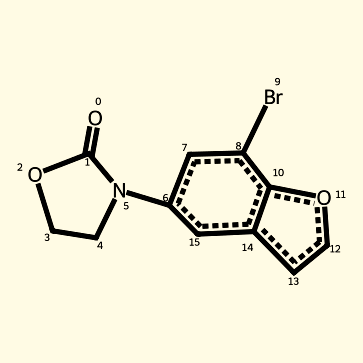 O=C1OCCN1c1cc(Br)c2occc2c1